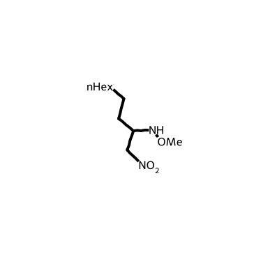 CCCCCCCCC(C[N+](=O)[O-])NOC